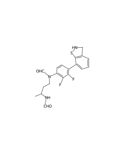 CC(CCN(C=O)c1ccc(-c2cccc3c2SNC3)c(F)c1F)NC=O